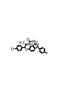 CCc1ccc([C@@H](Oc2ccc3c(cnn3-c3ccc(F)cc3)c2)[C@H](C)NC(=O)C(C)(C)C)cc1